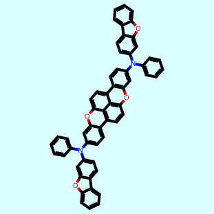 c1ccc(N(c2ccc3c(c2)Oc2ccc4c5c(ccc-3c25)Oc2cc(N(c3ccccc3)c3ccc5c(c3)oc3ccccc35)ccc2-4)c2ccc3c(c2)oc2ccccc23)cc1